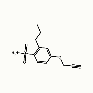 C#CCOc1ccc(S(N)(=O)=O)c(CCC)c1